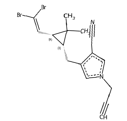 C#CCn1cc(C#N)c(C[C@@H]2[C@H](C=C(Br)Br)C2(C)C)c1